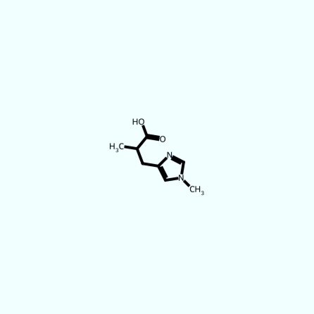 CC(Cc1cn(C)cn1)C(=O)O